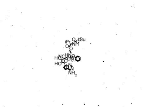 CC(C)[C@H](NC(=O)OC(C)(C)C)C(=O)OCCNP(=O)(OC[C@@]1(C#N)O[C@@H](c2ccc3c(N)ncnn23)[C@H](O)[C@@H]1O)Oc1ccccc1